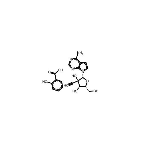 C#C[C@@]1(O)[C@H](O)[C@@H](CO)O[C@H]1n1ccc2c(N)ncnc21.O=C(O)c1ccccc1O